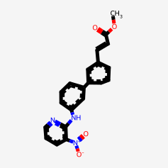 COC(=O)C=Cc1cccc(-c2cccc(Nc3ncccc3[N+](=O)[O-])c2)c1